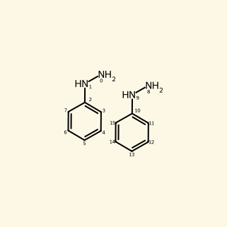 NNc1ccccc1.NNc1ccccc1